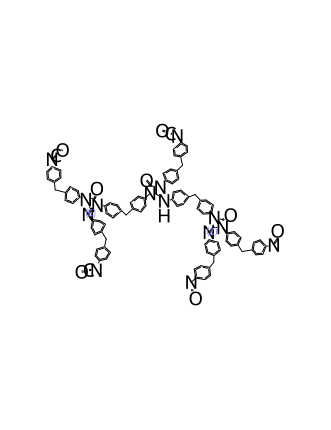 O=C=Nc1ccc(Cc2ccc(/N=C3\N(c4ccc(Cc5ccc(N=C=O)cc5)cc4)C(=O)N3c3ccc(Cc4ccc(NC5N(c6ccc(Cc7ccc(N=C=O)cc7)cc6)C(=O)N5c5ccc(Cc6ccc(N7C(=O)N(c8ccc(Cc9ccc(N=C=O)cc9)cc8)/C7=N/c7ccc(Cc8ccc(N=C=O)cc8)cc7)cc6)cc5)cc4)cc3)cc2)cc1